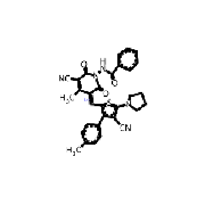 CC1=C(C#N)C(=O)N(NC(=O)c2ccccc2)C(=O)/C1=C\c1sc(N2CCCC2)c(C#N)c1-c1ccc(C)cc1